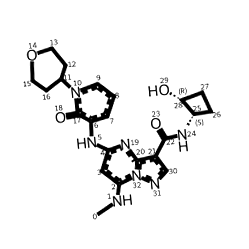 CNc1cc(Nc2cccn(C3CCOCC3)c2=O)nc2c(C(=O)N[C@H]3CC[C@H]3O)cnn12